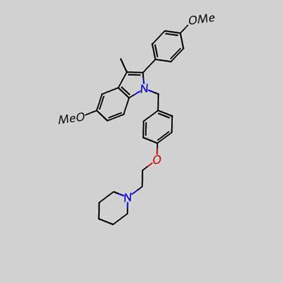 COc1ccc(-c2c(C)c3cc(OC)ccc3n2Cc2ccc(OCCN3CCCCC3)cc2)cc1